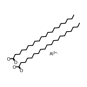 CCCCCCCCCCCCCCCCCCCC(=O)[O-].CCCCCCCCCCCCCCCCCCCC(=O)[O-].[Al+2]